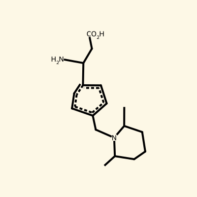 CC1CCCC(C)N1Cc1ccc(C(N)CC(=O)O)cc1